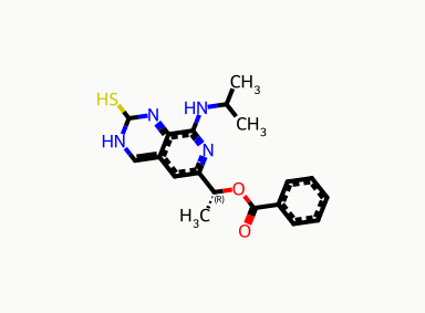 CC(C)Nc1nc([C@@H](C)OC(=O)c2ccccc2)cc2c1=NC(S)NC=2